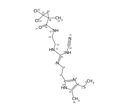 CSc1nc(CCN=C(NC#N)NCCNC(=O)C2(C)CC2(Cl)Cl)[nH]c1C